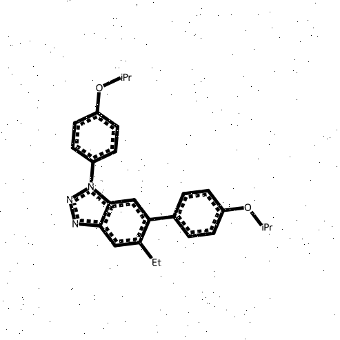 CCc1cc2nnn(-c3ccc(OC(C)C)cc3)c2cc1-c1ccc(OC(C)C)cc1